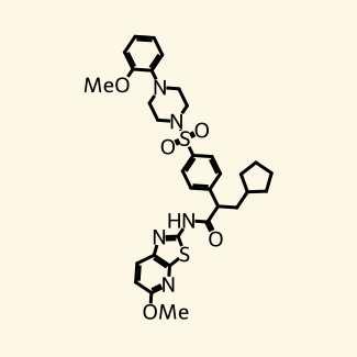 COc1ccc2nc(NC(=O)C(CC3CCCC3)c3ccc(S(=O)(=O)N4CCN(c5ccccc5OC)CC4)cc3)sc2n1